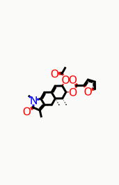 CC(=O)O[C@@H]1C=C2C=C3C(=C(C)C(=O)N3C)C[C@]2(C)[C@@H](C)[C@H]1OC(=O)c1ccco1